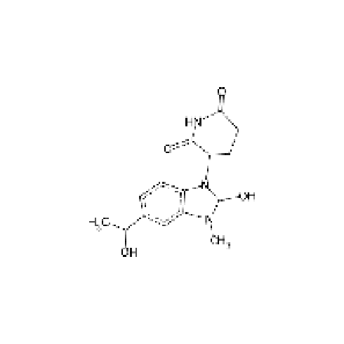 CC(O)c1ccc2c(c1)N(C)C(O)N2C1CCC(=O)NC1=O